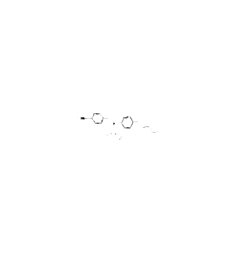 CCCCOc1ccc(C(=O)Oc2ccc(C#N)cc2)cc1.C[SiH2]O[SiH3]